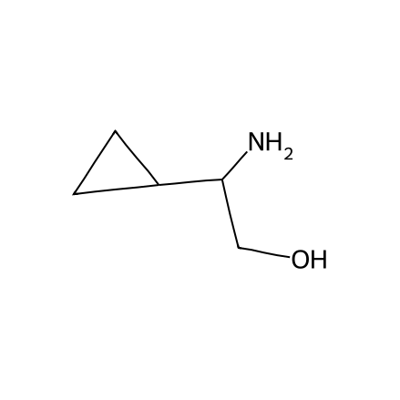 NC(CO)C1CC1